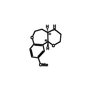 COc1ccc2c(c1)[C@H]1OCCN[C@@H]1CCO2